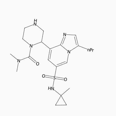 CCCc1cnc2c(C3CNCCN3C(=O)N(C)C)cc(S(=O)(=O)NC3(C)CC3)cn12